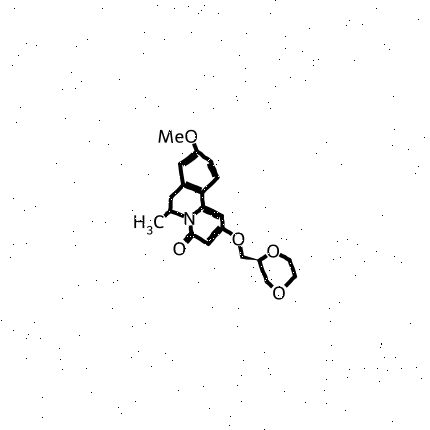 COc1ccc2c(c1)CC(C)n1c-2cc(OC[C@@H]2COCCO2)cc1=O